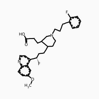 COc1ccc2nccc([C@@H](F)CCC3CCN(CCCc4ccccc4F)CC3CCC(=O)O)c2c1